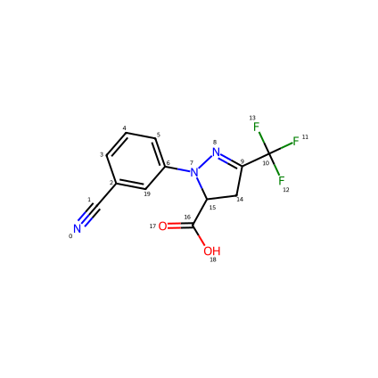 N#Cc1cccc(N2N=C(C(F)(F)F)CC2C(=O)O)c1